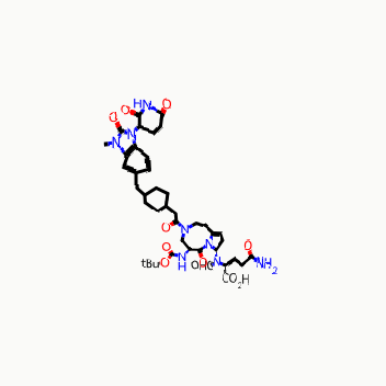 Cn1c(=O)n(C2CCC(=O)NC2=O)c2ccc(CC3CCC(CC(=O)N4CCC5=CC[C@@H](N(C=O)[C@@H](CCC(N)=O)C(=O)O)N5C(=O)[C@@H](NC(=O)OC(C)(C)C)C4)CC3)cc21